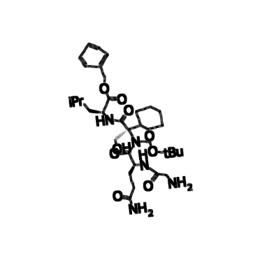 CC(C)C[C@H](NC(=O)[C@@](CO)(C1CCCCC1)N(C(=O)OC(C)(C)C)C(=O)[C@H](CCC(N)=O)NC(=O)CN)C(=O)OCc1ccccc1